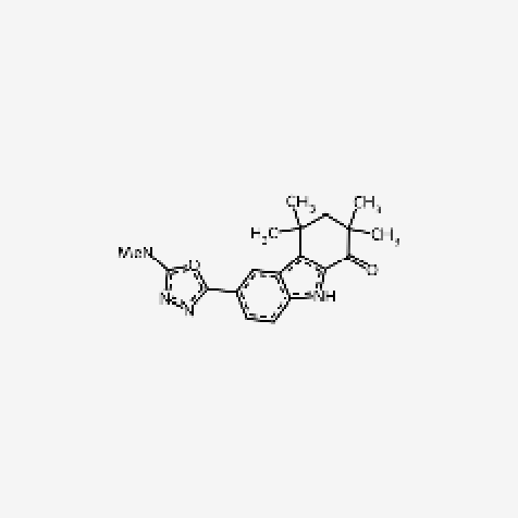 CNc1nnc(-c2ccc3[nH]c4c(c3c2)C(C)(C)CC(C)(C)C4=O)o1